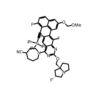 COCOc1cc(-c2c(Cl)cc3c(N4CCCC(C#N)CC4)nc(OC[C@@]45CCCN4C[C@H](F)C5)nc3c2F)c2c(C#C[Si](C(C)C)(C(C)C)C(C)C)c(F)ccc2c1